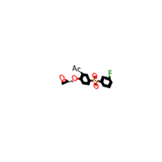 CC(=O)c1cc(S(=O)(=O)c2cccc(F)c2)ccc1OC[C@@H]1CO1